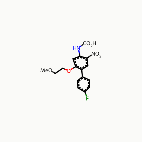 COCCOc1cc(NC(=O)O)c([N+](=O)[O-])cc1-c1ccc(F)cc1